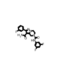 NC(=O)c1c(-c2cccc(F)c2)nn2c1CN(C(=O)Nc1cc(F)cc(F)c1)CC2